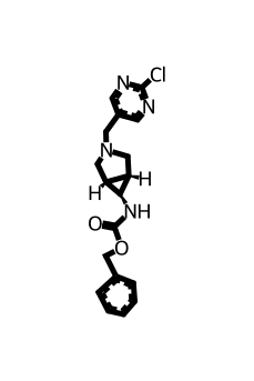 O=C(N[C@H]1[C@@H]2CN(Cc3cnc(Cl)nc3)C[C@@H]21)OCc1ccccc1